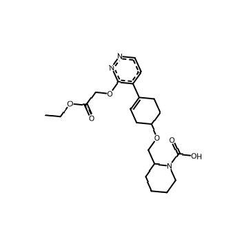 CCOC(=O)COc1nnccc1C1=CCC(OCC2CCCCN2C(=O)O)CC1